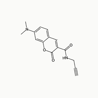 C#CCNC(=O)c1[c]c2ccc(N(C)C)cc2oc1=O